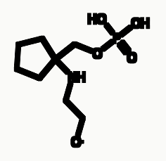 [O]CCNC1(COP(=O)(O)O)CCCC1